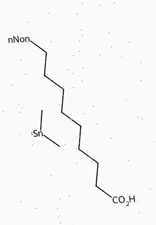 CCCCCCCCCCCCCCCCCC(=O)O.[CH3][Sn][CH3]